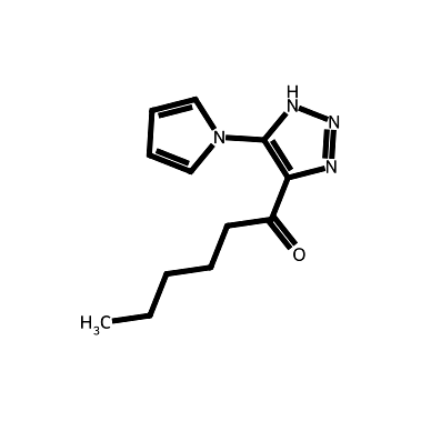 CCCCCC(=O)c1nn[nH]c1-n1cccc1